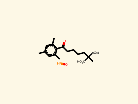 CCCCCCCCC(C)(CCCCC(=O)c1c(C)cc(C)cc1C)C(=O)O.O=P